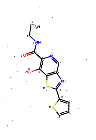 O=C(O)CNC(=O)c1ncc2nc(-c3cccs3)sc2c1O